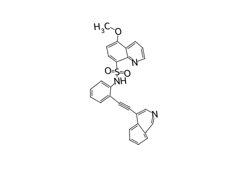 COc1ccc(S(=O)(=O)Nc2ccccc2C#Cc2cncc3ccccc23)c2ncccc12